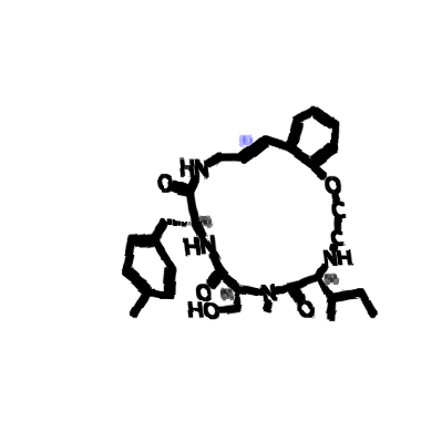 CCC(C)[C@@H]1NCCOc2ccccc2/C=C/CNC(=O)[C@@H](Cc2ccc(C)cc2)NC(=O)[C@H](CO)N(C)C1=O